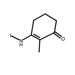 CC1=C(NI)CCCC1=O